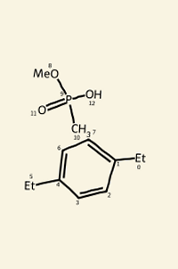 CCc1ccc(CC)cc1.COP(C)(=O)O